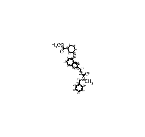 COC(=O)[C@H]1CCC[C@H](Oc2cccc3sc(COC(=O)N(C)Cc4ccccc4)nc23)C1